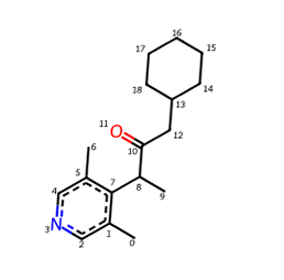 Cc1cncc(C)c1C(C)C(=O)CC1CCCCC1